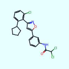 O=C(Nc1cccc(-c2cc(-c3c(Cl)cccc3C3CCCC3)no2)c1)C(Cl)Cl